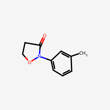 Cc1cccc(N2OCCC2=O)c1